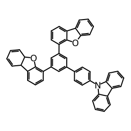 C1=CC2Oc3c(-c4cc(-c5ccc(-n6c7ccccc7c7ccccc76)cc5)cc(-c5cccc6c5oc5ccccc56)c4)cccc3C2C=C1